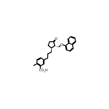 Cc1ccc(CCC[C@H]2CCC(=O)[C@@H]2COc2cccc3ccccc23)cc1C(=O)O